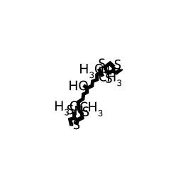 CC(C)(CCCCC(O)CCCCC(C)(C)N1C(=S)C=C2SCCC2C1=S)N1C(=S)C=C2SCCC2C1=S